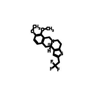 COc1ccc2c(c1OC)CN1CCc3sc(CC(F)(F)F)cc3[C@@H]1C2